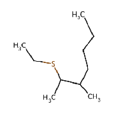 CCCCC(C)C(C)SCC